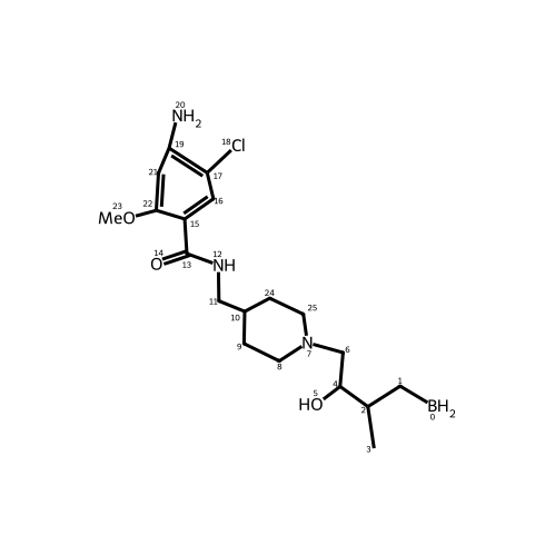 BCC(C)C(O)CN1CCC(CNC(=O)c2cc(Cl)c(N)cc2OC)CC1